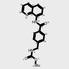 CC(C)(C)OC(=O)NCc1ccc(C(=O)Nc2cccc3cccnc23)cc1